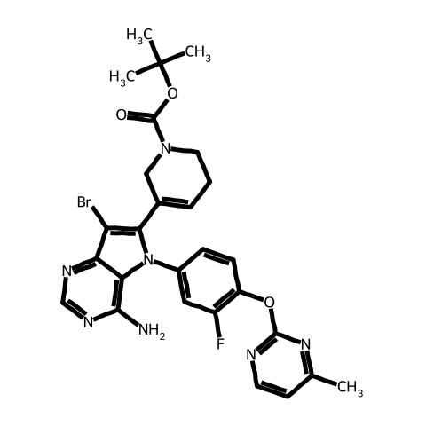 Cc1ccnc(Oc2ccc(-n3c(C4=CCCN(C(=O)OC(C)(C)C)C4)c(Br)c4ncnc(N)c43)cc2F)n1